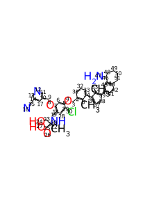 Cc1c(COc2cc(OCc3cncc(C#N)c3)c(CNC(C)(CO)C(=O)O)cc2Cl)cccc1-c1cccc(-c2ccc3c(c2)C(N)CCCC3)c1C